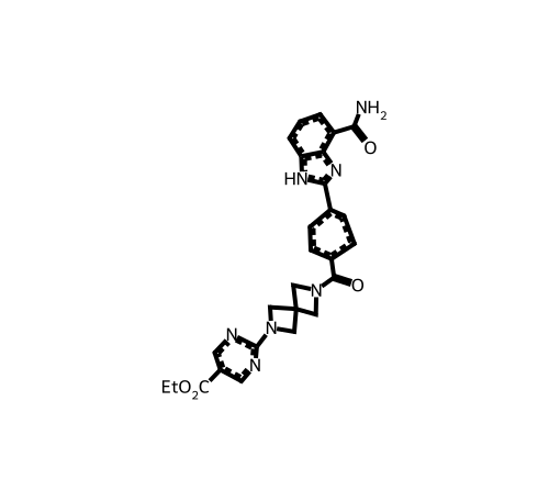 CCOC(=O)c1cnc(N2CC3(CN(C(=O)c4ccc(-c5nc6c(C(N)=O)cccc6[nH]5)cc4)C3)C2)nc1